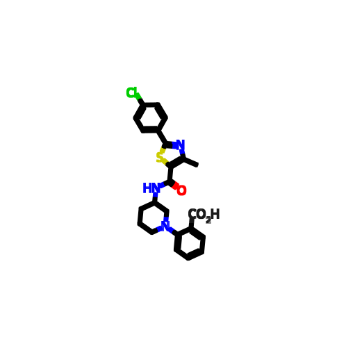 Cc1nc(-c2ccc(Cl)cc2)sc1C(=O)NC1CCCN(c2ccccc2C(=O)O)C1